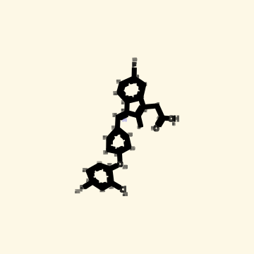 CC1=C(CC(=O)O)c2cc(F)ccc2/C1=C/c1ccc(Oc2ccc(F)cc2Cl)cc1